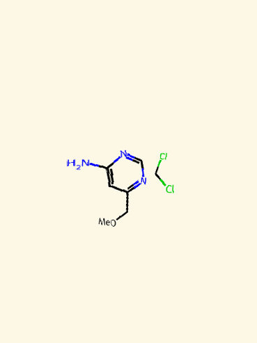 COCc1cc(N)ncn1.ClCCl